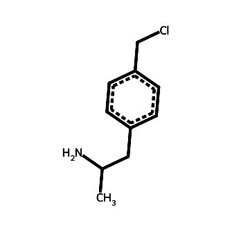 CC(N)Cc1ccc(CCl)cc1